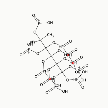 CCCC(C)(O[PH](=O)O)C(O[PH](=O)O)(O[PH](=O)O)C(O[PH](=O)O)(O[PH](=O)O)C(O[PH](=O)O)(O[PH](=O)O)C(O[PH](=O)O)(O[PH](=O)O)O[PH](=O)O